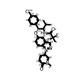 CC(C)C(NC(=O)C(C)(F)F)[C@H](Oc1ccc2c(cnn2-c2ccc(=O)n(C)c2)c1)c1ccc(Cl)cc1